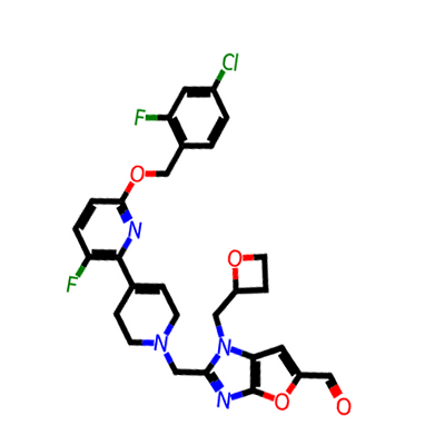 O=Cc1cc2c(nc(CN3CC=C(c4nc(OCc5ccc(Cl)cc5F)ccc4F)CC3)n2CC2CCO2)o1